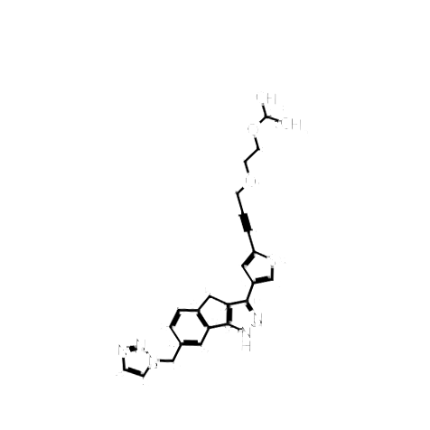 CC(C)OCCOCC#Cc1cc(-c2n[nH]c3c2Cc2ccc(Cn4ccnn4)cc2-3)cs1